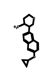 [CH2]C1CCOCC1c1ccc2cc(OC3CC3)ccc2c1